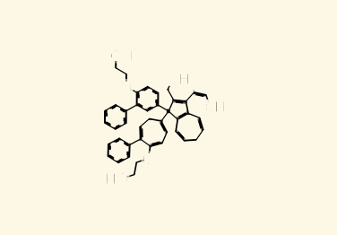 C/C=C\C1=C(CC)C(C2=CC=C(OCCO)C(c3ccccc3)=CC2)(c2ccc(OCCO)c(-c3ccccc3)c2)C2=C1C=CCC=C2